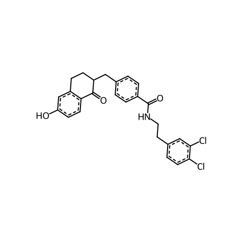 O=C(NCCc1ccc(Cl)c(Cl)c1)c1ccc(CC2CCc3cc(O)ccc3C2=O)cc1